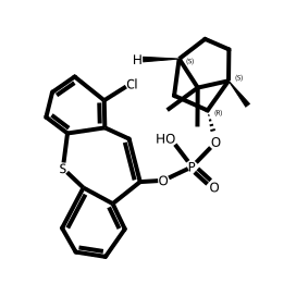 CC1(C)[C@H]2CC[C@]1(C)[C@H](OP(=O)(O)OC1=Cc3c(Cl)cccc3Sc3ccccc31)C2